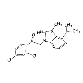 CC(C)c1cccc2c1n(C)c(=N)n2CC(=O)c1ccc(Cl)cc1Cl